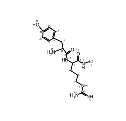 CCNC(=O)C(CCCNC(=N)N)NC(=O)C(N)Cc1ccc(O)cc1